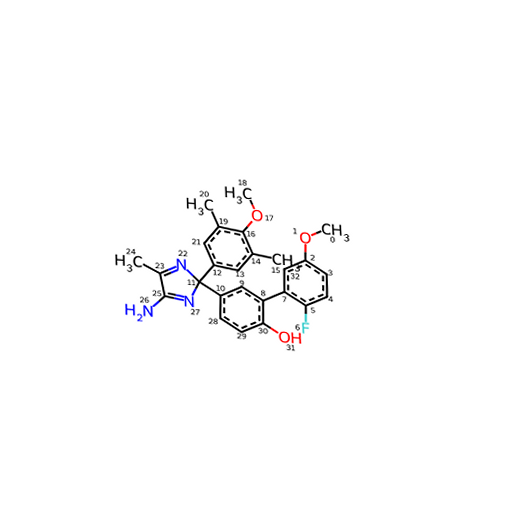 COc1ccc(F)c(-c2cc(C3(c4cc(C)c(OC)c(C)c4)N=C(C)C(N)=N3)ccc2O)c1